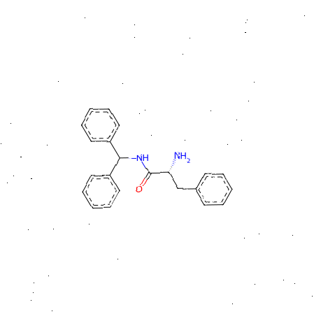 N[C@H](Cc1ccccc1)C(=O)NC(c1ccccc1)c1ccccc1